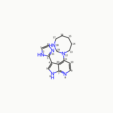 c1c[nH]c(-c2c[nH]c3nccc(N4CCCCCNC4)c23)n1